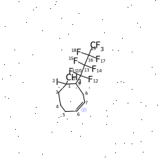 CC1(I)CCC/C=C\CC1C(F)(F)C(F)(F)C(F)(F)C(F)(F)F